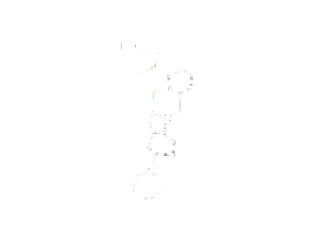 COC(=O)c1cccc(Cn2ccc3cc(N4CCOCC4)ccc32)c1F